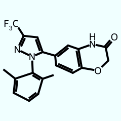 Cc1cccc(C)c1-n1nc(C(F)(F)F)cc1-c1ccc2c(c1)NC(=O)CO2